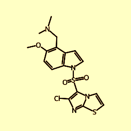 COc1ccc2c(ccn2S(=O)(=O)c2c(Cl)nc3sccn23)c1CN(C)C